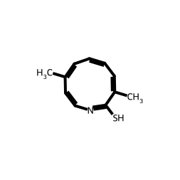 Cc1ccccc(C)c(S)ncc1